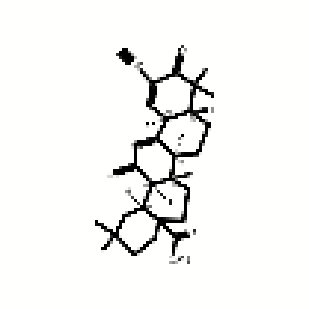 C#[N+]C1=C[C@]2(C)C3=CC(=O)[C@@H]4[C@@H]5CC(C)(C)CCC5(C(=O)OC)CC[C@@]4(C)[C@]3(C)CC[C@H]2C(C)(C)C1=O